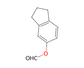 O=COc1ccc2c(c1)CCC2